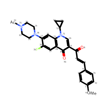 COc1ccc(C=CC(=O)c2cn(C3CC3)c3cc(N4CCN(C(C)=O)CC4)c(F)cc3c2=O)cc1